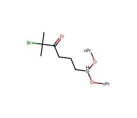 CCCO[SiH](CCCC(=O)C(C)(C)Br)OCCC